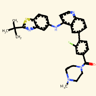 CN1CCN(C(=O)c2ccc(-c3ccc4nccc(Nc5ccc6sc(C(C)(C)C)nc6c5)c4c3)c(F)c2)CC1